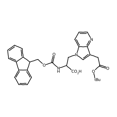 CC(C)(C)OC(=O)Cc1cn(CC(NC(=O)OCC2c3ccccc3-c3ccccc32)C(=O)O)c2cccnc12